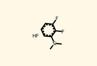 C[Si](C)c1cccc(F)c1F.F